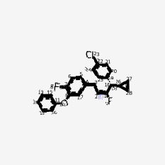 F/C(=C/Cc1ccc(F)c(Oc2ccccc2)c1)[C@H](c1ccc(Cl)cc1)C1CC1